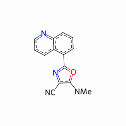 CNc1oc(-c2cccc3ncccc23)nc1C#N